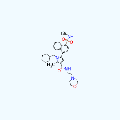 Cc1c(C(=O)NCCN2CCOCC2)cc(-c2ccc(S(=O)(=O)NC(C)(C)C)c3ccccc23)n1CC1CCCCC1